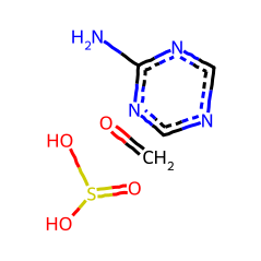 C=O.Nc1ncncn1.O=S(O)O